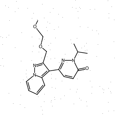 COCOCc1nn2ccccc2c1-c1ccc(=O)n(C(C)C)n1